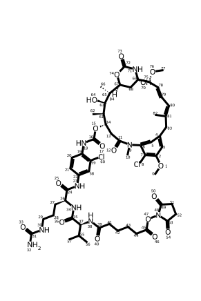 COc1cc2cc(c1Cl)N(C)C(=O)C[C@H](OC(=O)Nc1ccc(NC(=O)[C@H](CCCNC(N)=O)NC(=O)[C@@H](NC(=O)CCCCC(=O)ON3C(=O)CCC3=O)C(C)C)cc1Cl)[C@@H](C)[C@@H](O)[C@H](C)[C@@H]1C[C@@](O)(NC(=O)O1)[C@H](OC)/C=C/C=C(\C)C2